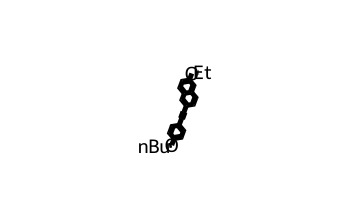 CCCCOc1ccc(C#Cc2ccc3cc(OCC)ccc3c2)cc1